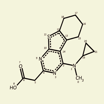 CN(c1nc(CC(=O)O)nc2sc3c(c12)CCCC3)C1CC1